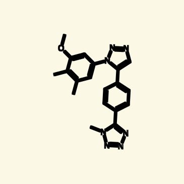 COc1cc(-n2nncc2-c2ccc(-c3nnnn3C)cc2)cc(C)c1C